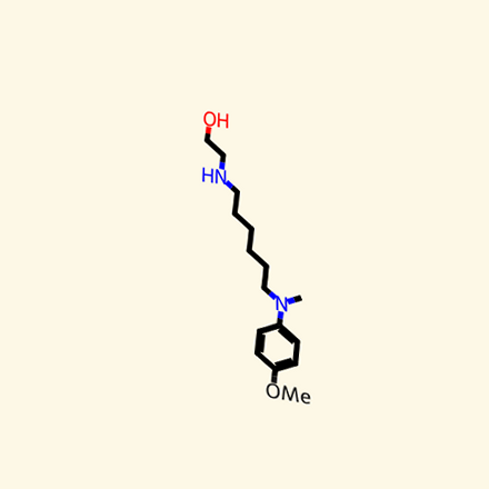 COc1ccc(N(C)CCCCCCNCCO)cc1